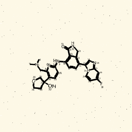 CN(C)Cc1nc(Nc2ccc(-c3cnc4cc(F)ccn34)c3c2C(=O)NC3)ccc1[C@]1(O)CCOC1